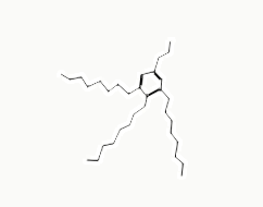 [CH2]CCc1cc(CCCCCCCC)c(CCCCCCCC)c(CCCCCCCC)c1